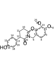 COc1ccc(CN2C(=O)CCC(c3ccc(O)cc3)C2=O)cc1OC